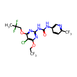 CC(F)(F)COc1nc(NC(=O)Nc2ccc(C(F)(F)F)nc2)nc(OCC(F)(F)F)c1Cl